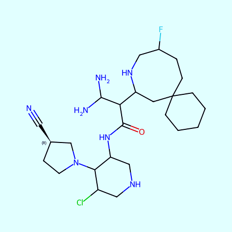 N#C[C@@H]1CCN(C2C(Cl)CNCC2NC(=O)C(C(N)N)C2CC3(CCCCC3)CCC(F)CN2)C1